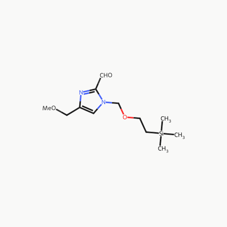 COCc1cn(COCC[Si](C)(C)C)c(C=O)n1